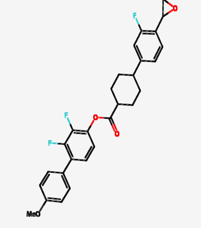 COc1ccc(-c2ccc(OC(=O)C3CCC(c4ccc(C5CO5)c(F)c4)CC3)c(F)c2F)cc1